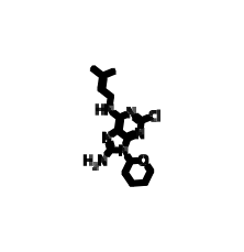 CC(C)=CCNc1nc(Cl)nc2c1nc(N)n2C1CCCCO1